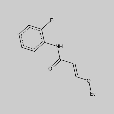 CCOC=CC(=O)Nc1ccccc1F